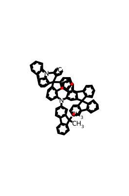 CC1(C)c2ccccc2-c2ccc(N(c3cccc4c3-c3ccccc3C43c4ccccc4-n4c5ccccc5c5cccc3c54)c3cc4c(c5ccccc35)-c3ccccc3C43c4ccccc4-c4ccccc43)cc21